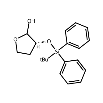 CC(C)(C)[Si](O[C@@H]1CCOC1O)(c1ccccc1)c1ccccc1